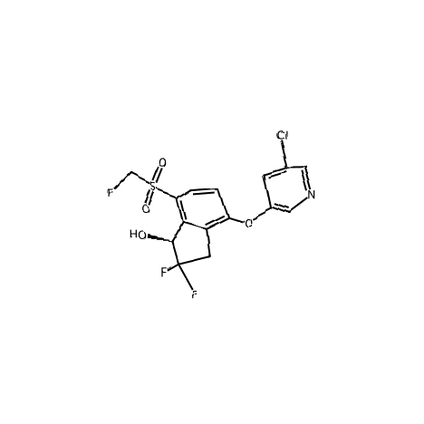 O=S(=O)(CF)c1ccc(Oc2cncc(Cl)c2)c2c1[C@H](O)C(F)(F)C2